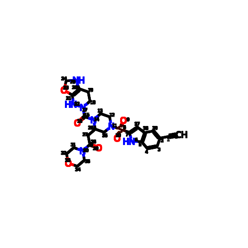 C#Cc1ccc2[nH]c(S(=O)(=O)N3CCN(C(=O)N4CCC5=C(N4)OCN5)C(CC(=O)N4CCOCC4)C3)cc2c1